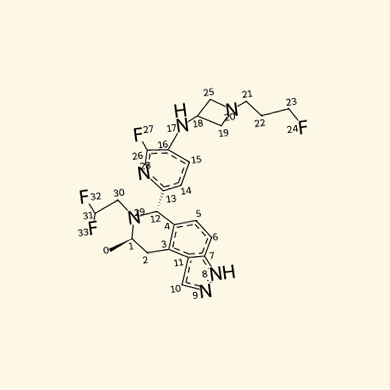 C[C@@H]1Cc2c(ccc3[nH]ncc23)[C@@H](c2ccc(NC3CN(CCCF)C3)c(F)n2)N1CC(F)F